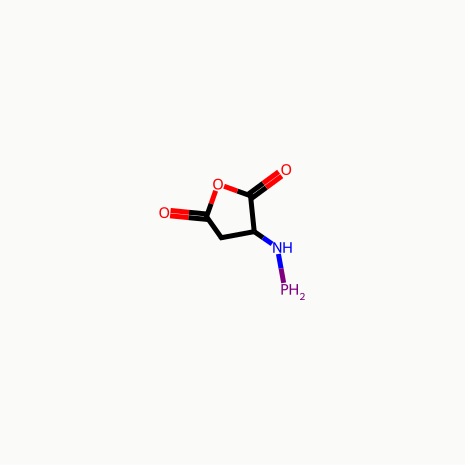 O=C1CC(NP)C(=O)O1